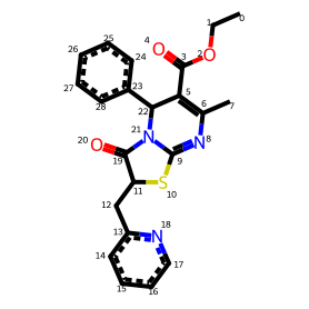 CCOC(=O)C1=C(C)N=C2SC(Cc3ccccn3)C(=O)N2C1c1ccccc1